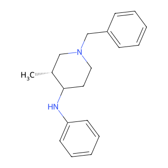 C[C@@H]1CN(Cc2ccccc2)CCC1Nc1ccccc1